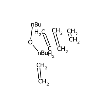 C=C.C=C.C=C.C=C.CCCCOCCCC